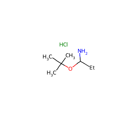 CCC(N)OC(C)(C)C.Cl